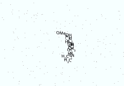 C=Cc1nn(CC(=O)[C@H]2CC[C@H]3[C@@H]4CC[C@@H]5C[C@@](O)(COC)CC[C@@H]5[C@H]4CC[C@]23C)nc1C